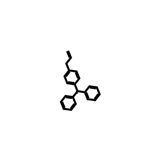 C=CCc1ccc([C](c2ccccc2)c2ccccc2)cc1